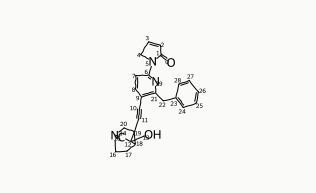 O=C1C=CCN1c1ccc(C#CC2(O)CN3CCC2CC3)c(Cc2ccccc2)n1